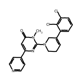 Cn1c(N2CCC=C(c3cccc(Cl)c3Cl)C2)nc(-c2ccncc2)cc1=O